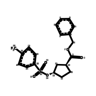 O=C(OCc1ccccc1)[C@H]1CC[C@H](OS(=O)(=O)c2ccc(C(F)(F)F)cc2)C1